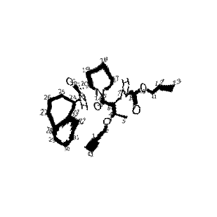 C#CCO[C@H](C)[C@H](NC(=O)OCC=C)C(=O)N1CCC[C@H]1C(=O)N[C@@H]1CCCc2ccccc21